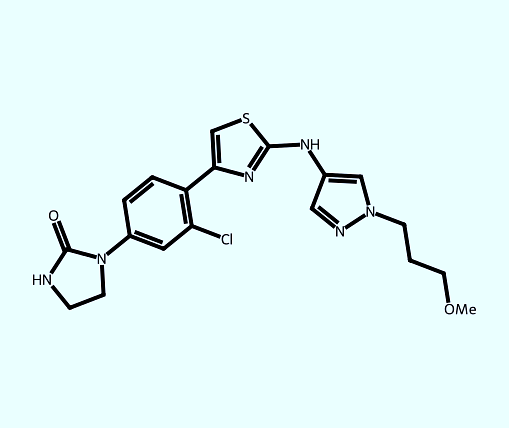 COCCCn1cc(Nc2nc(-c3ccc(N4CCNC4=O)cc3Cl)cs2)cn1